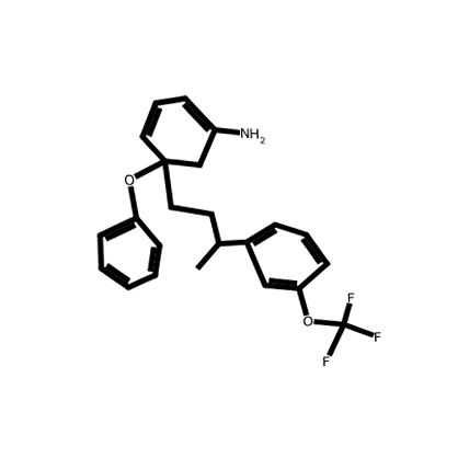 CC(CCC1(Oc2ccccc2)C=CC=C(N)C1)c1cccc(OC(F)(F)F)c1